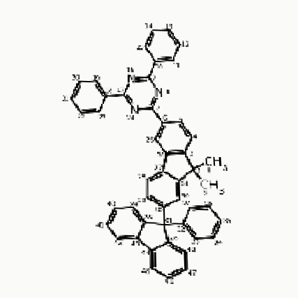 CC1(C)c2ccc(-c3nc(-c4ccccc4)nc(-c4ccccc4)n3)cc2-c2ccc(C3(c4ccccc4)c4ccccc4-c4ccccc43)cc21